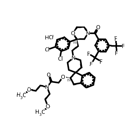 COCCN(CCOC)C(=O)CO[C@H]1Cc2ccccc2C12CCN(CC[C@]1(c3ccc(Cl)c(Cl)c3)CN(C(=O)c3cc(C(F)(F)F)cc(C(F)(F)F)c3)CCO1)CC2.Cl